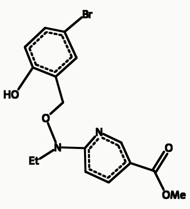 CCN(OCc1cc(Br)ccc1O)c1ccc(C(=O)OC)cn1